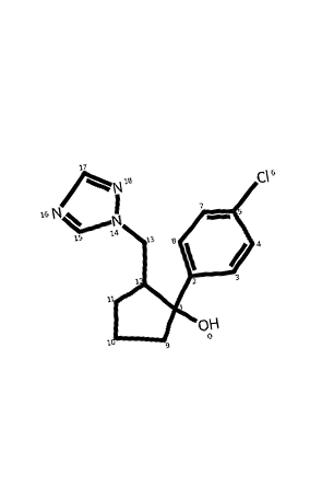 OC1(c2ccc(Cl)cc2)CCCC1Cn1cncn1